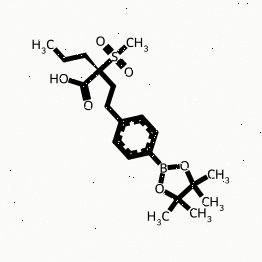 CCC[C@@](CCc1ccc(B2OC(C)(C)C(C)(C)O2)cc1)(C(=O)O)S(C)(=O)=O